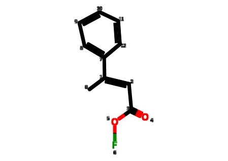 CC(=CC(=O)OF)c1ccccc1